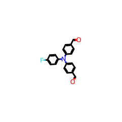 O=Cc1ccc(N(c2ccc(F)cc2)c2ccc(C=O)cc2)cc1